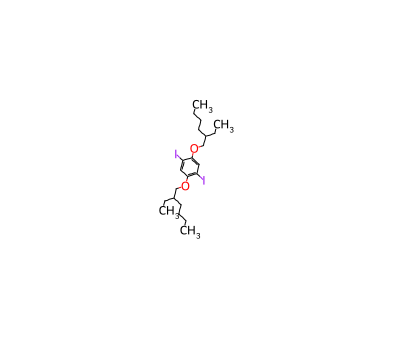 CCCCC(CC)COc1cc(I)c(OCC(CC)CCCC)cc1I